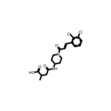 CC(CC(=O)NC1CCN(C(=O)C=Cc2cccc(Cl)c2Cl)CC1)C(=O)O